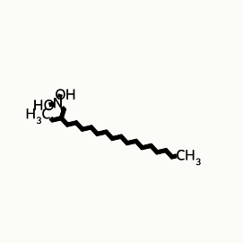 CCCCCCCCCCCCCCCCC(CC)CN(O)O